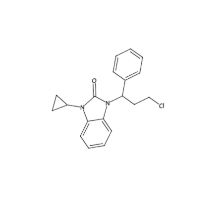 O=c1n(C2CC2)c2ccccc2n1C(CCCl)c1ccccc1